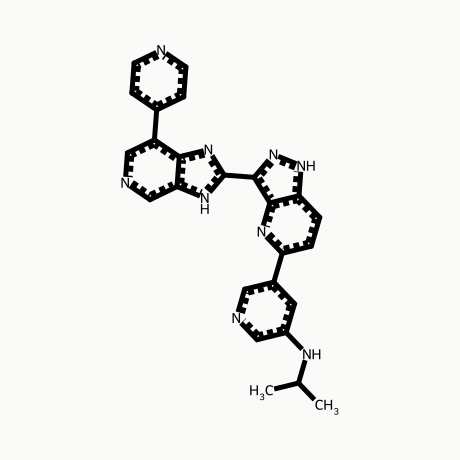 CC(C)Nc1cncc(-c2ccc3[nH]nc(-c4nc5c(-c6ccncc6)cncc5[nH]4)c3n2)c1